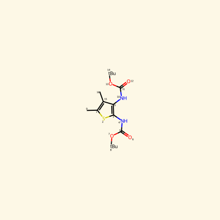 Cc1sc(NC(=O)OC(C)(C)C)c(NC(=O)OC(C)(C)C)c1C